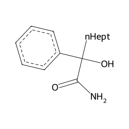 CCCCCCCC(O)(C(N)=O)c1ccccc1